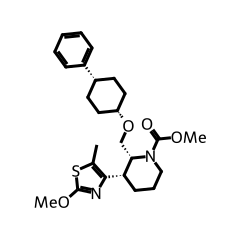 COC(=O)N1CCC[C@H](c2nc(OC)sc2C)[C@@H]1CO[C@H]1CC[C@@H](c2ccccc2)CC1